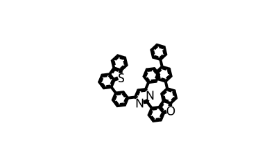 c1ccc(-c2ccc(-c3ccc4oc5cccc(-c6nc(-c7ccccc7)cc(-c7cccc(-c8cccc9c8sc8ccccc89)c7)n6)c5c4c3)cc2)cc1